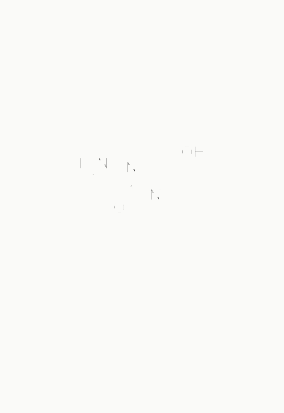 NNC(=O)N(CCO)C1CCCCC1